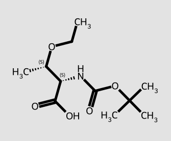 CCO[C@@H](C)[C@H](NC(=O)OC(C)(C)C)C(=O)O